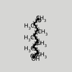 CC(=O)CCC=C(C)CCC=C(C)CCC=C(C)CCC=C(C)CCC=C(C)CCC=C(C)COC(=O)O